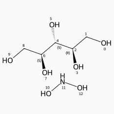 OC[C@@H](O)[C@@H](O)[C@@H](O)CO.ONO